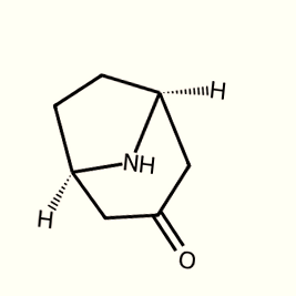 O=C1C[C@H]2CC[C@@H](C1)N2